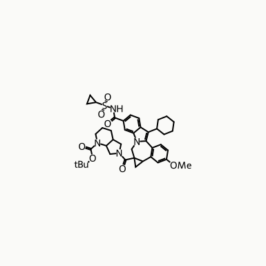 COc1ccc2c(c1)C1CC1(C(=O)N1CC3CCCN(C(=O)OC(C)(C)C)C3C1)Cn1c-2c(C2CCCCC2)c2ccc(C(=O)NS(=O)(=O)C3CC3)cc21